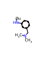 CCC(C)Nc1cccc(CN(C)C)c1